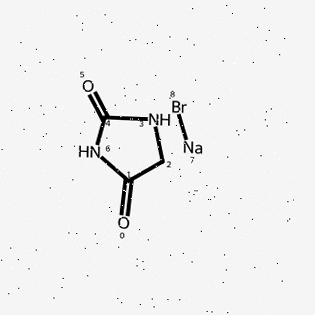 O=C1CNC(=O)N1.[Na][Br]